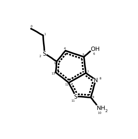 CCSc1cc(O)c2nc(N)sc2c1